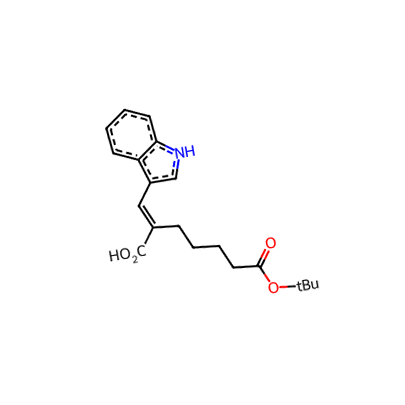 CC(C)(C)OC(=O)CCCC/C(=C\c1c[nH]c2ccccc12)C(=O)O